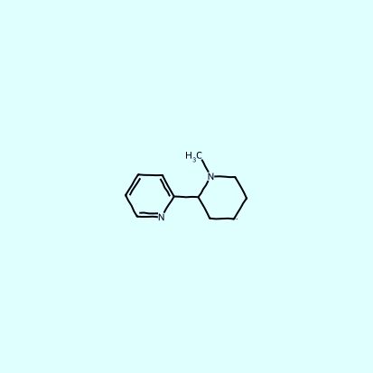 CN1CC[CH]CC1c1ccccn1